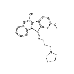 COc1ccc2c(c1)C(=NOCCN1CCCC1)c1c-2c(O)nc2ccccc12